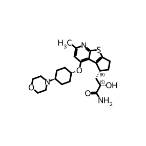 Cc1cc(O[C@H]2CC[C@H](N3CCOCC3)CC2)c2c3c(sc2n1)CC[C@@H]3C[C@H](O)C(N)=O